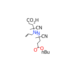 C=CC[N+](=NC(C)(C#N)CCC(=O)OCCCC)C(C)(C#N)CCC(=O)O